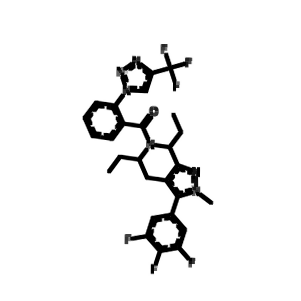 CCC1Cc2c(nn(C)c2-c2cc(F)c(F)c(F)c2)C(CC)N1C(=O)c1ccccc1-n1cc(C(F)(F)F)nn1